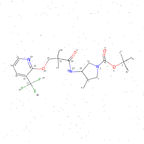 CC1CN(C(=O)OC(C)(C)C)CC1NC(=O)C(C)(C)COc1ncccc1C(F)(F)F